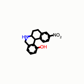 O=[N+]([O-])c1ccc2c(c1)CCC1NCc3cccc(O)c3C21